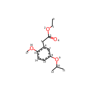 CCOC(=O)Cc1cc(OC(C)C)ccc1OC